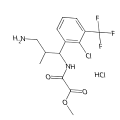 COC(=O)C(=O)NC(c1cccc(C(F)(F)F)c1Cl)C(C)CN.Cl